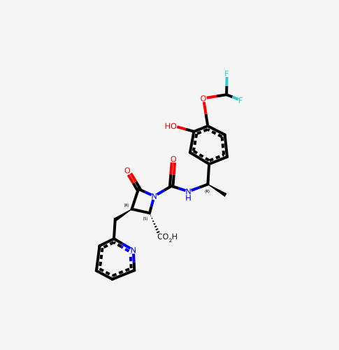 C[C@@H](NC(=O)N1C(=O)[C@H](Cc2ccccn2)[C@H]1C(=O)O)c1ccc(OC(F)F)c(O)c1